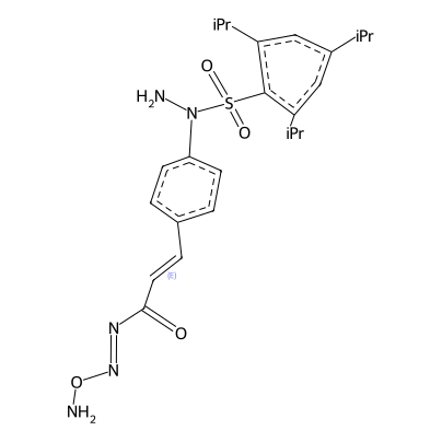 CC(C)c1cc(C(C)C)c(S(=O)(=O)N(N)c2ccc(/C=C/C(=O)N=NON)cc2)c(C(C)C)c1